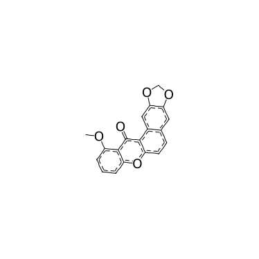 COc1cccc2oc3ccc4cc5c(cc4c3c(=O)c12)OCO5